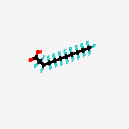 O=C(O)C(F)(F)C(F)C(F)(F)C(F)(F)C(F)(F)C(F)(F)C(F)(F)C(F)(F)C(F)(F)C(F)(F)F